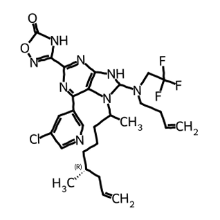 C=CCCN(CC(F)(F)F)C1Nc2nc(-c3noc(=O)[nH]3)nc(-c3cncc(Cl)c3)c2N1C(C)CCC[C@@H](C)CC=C